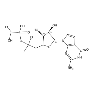 CCC(O)P(=O)(O)OC(C)(CC)CC1O[C@@H](n2ccc3c(=O)[nH]c(N)nc32)[C@H](O)[C@@H]1O